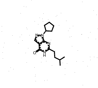 CC(C)CCc1nc2c(cnn2C2CCCC2)c(=O)[nH]1